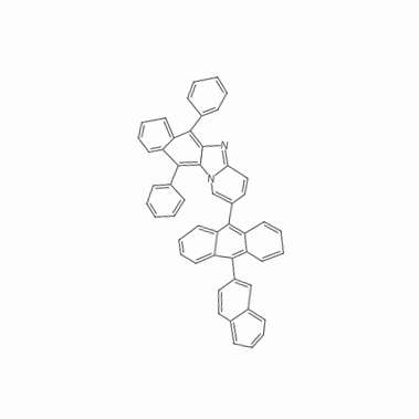 c1ccc(-c2c3ccccc3c(-c3ccccc3)c3c2nc2ccc(-c4c5ccccc5c(-c5ccc6ccccc6c5)c5ccccc45)cn23)cc1